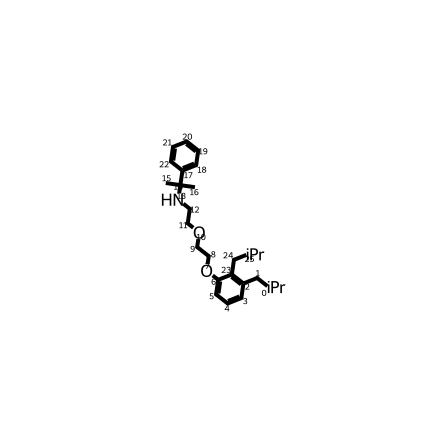 CC(C)Cc1cccc(OCCOCCNC(C)(C)c2ccccc2)c1CC(C)C